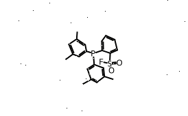 Cc1cc(C)cc(P(c2cc(C)cc(C)c2)c2ccccc2S(=O)(=O)F)c1